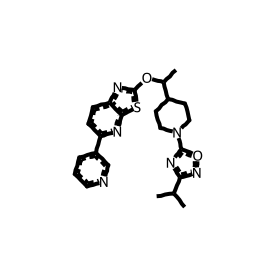 CC(C)c1noc(N2CCC(C(C)Oc3nc4ccc(-c5cccnc5)nc4s3)CC2)n1